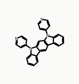 c1ccc2c(c1)c1cc3c4ccccc4n(-c4ccncc4)c3cc1n2-c1ccncc1